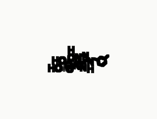 Cc1cccc(CNc2ncnc3c2ncn3C2O[C@H](CO)[C@@H](O)[C@@H]2O)c1